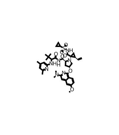 C=C[C@@H]1C[C@@]1(C(=O)NS(=O)(=O)C1CC1)N1C[C@H](Oc2nc(N(C)C)cc3cc(OC)ccc23)C[C@H]1C(=O)NC(=O)C(Nc1cc(C)cc(C)n1)C(C)(C)C